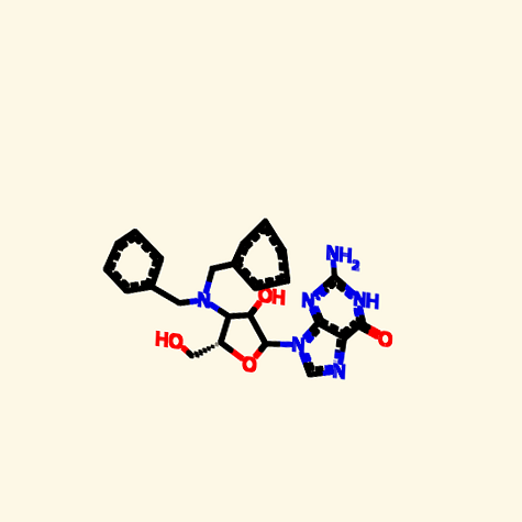 Nc1nc2c(ncn2C2O[C@H](CO)C(N(Cc3ccccc3)Cc3ccccc3)C2O)c(=O)[nH]1